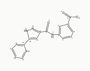 O=C(Nc1cccc([N+](=O)[O-])c1)c1cc(-c2ccccn2)[nH]n1